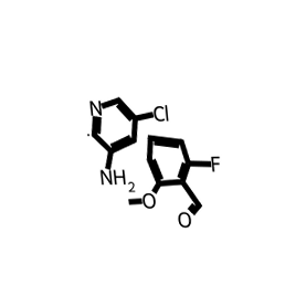 COc1cccc(F)c1C=O.Nc1[c]ncc(Cl)c1